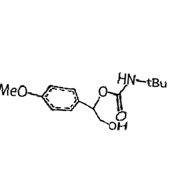 COc1ccc(C(CO)OC(=O)NC(C)(C)C)cc1